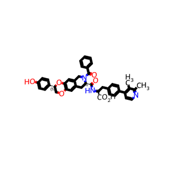 Cc1nccc(-c2ccc(C[C@H](NC(=O)[C@@H]3Cc4cc5c(cc4CN3C(=O)c3ccccc3)O[C@@H](c3ccc(O)cc3)CO5)C(=O)O)cc2)c1C